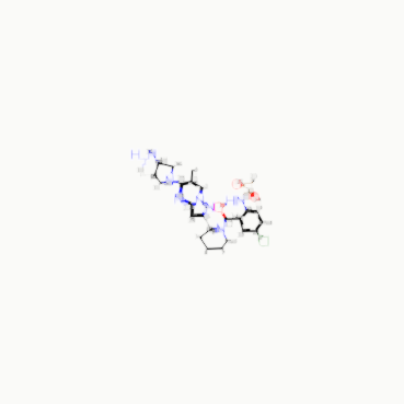 Cc1cn2nc([C@@H]3CCCCN3C(=O)c3cc(Cl)ccc3NS(C)(=O)=O)cc2nc1N1C[C@H](C)[C@@H](N)C1